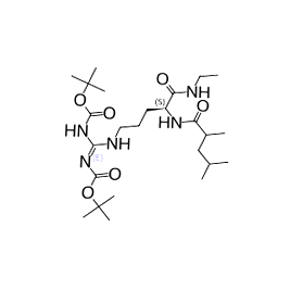 CCNC(=O)[C@H](CCCN/C(=N\C(=O)OC(C)(C)C)NC(=O)OC(C)(C)C)NC(=O)C(C)CC(C)C